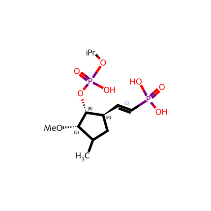 CO[C@H]1C(C)C[C@H](/C=C/P(=O)(O)O)[C@H]1OP(=O)(O)OC(C)C